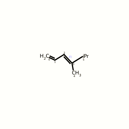 C=C/C=C(\C)C(C)C